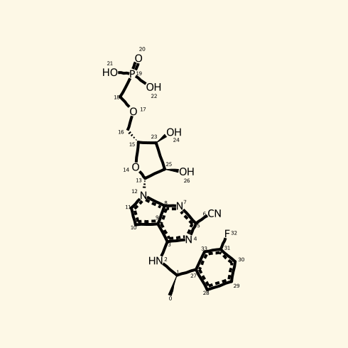 C[C@@H](Nc1nc(C#N)nc2c1ccn2[C@@H]1O[C@H](COCP(=O)(O)O)[C@@H](O)[C@H]1O)c1cccc(F)c1